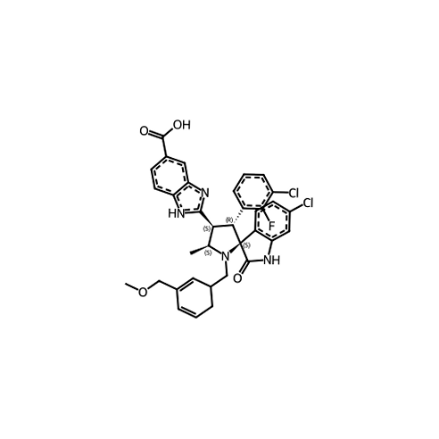 COCC1=CC(CN2[C@@H](C)[C@@H](c3nc4cc(C(=O)O)ccc4[nH]3)[C@H](c3cccc(Cl)c3F)[C@]23C(=O)Nc2cc(Cl)ccc23)CC=C1